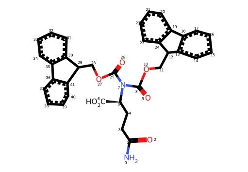 NC(=O)CC[C@@H](C(=O)O)N(C(=O)OCC1c2ccccc2-c2ccccc21)C(=O)OCC1c2ccccc2-c2ccccc21